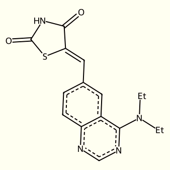 CCN(CC)c1ncnc2ccc(/C=C3\SC(=O)NC3=O)cc12